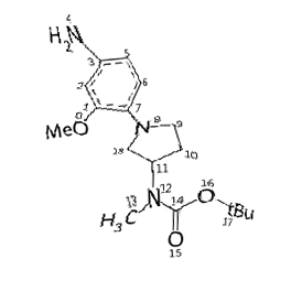 COc1cc(N)ccc1N1CCC(N(C)C(=O)OC(C)(C)C)C1